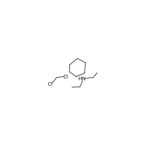 C1CCCCC1.CCNCC.ClCCl